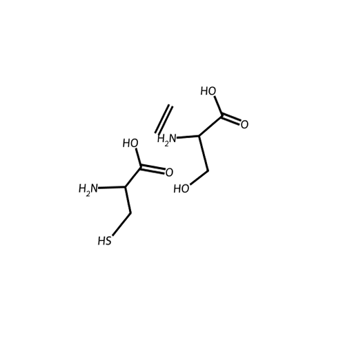 C=C.NC(CO)C(=O)O.NC(CS)C(=O)O